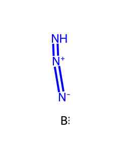 [B].[N-]=[N+]=N